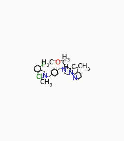 CCN(Cc1ccc(CN2CCN(c3ncccc3C(C)C)CC2)cc1)Cc1c(F)cccc1Cl.CCOCC